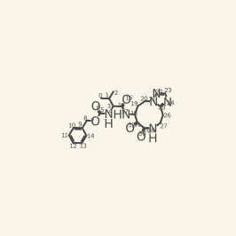 CC(C)C(NC(=O)OCc1ccccc1)C(=O)NC1CCn2ncnc2CCNC(=O)C1=O